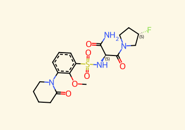 COc1c(N2CCCCC2=O)cccc1S(=O)(=O)N[C@@H](C(N)=O)C(=O)N1CC[C@H](F)C1